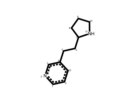 c1cncc(CCC2CCCN2)c1